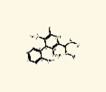 CCOC(=O)C1=C(C)NC(C(OCC)OCC)=C(C(=O)OCC)C1c1ccccc1OC